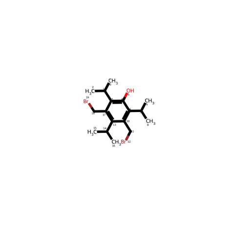 CC(C)c1c(O)c(C(C)C)c(CBr)c(C(C)C)c1CBr